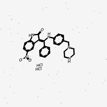 Cl.Cl.O=C1Nc2ccc([N+](=O)[O-])cc2/C1=C(/Nc1ccc(CN2CCNCC2)cc1)c1ccccc1